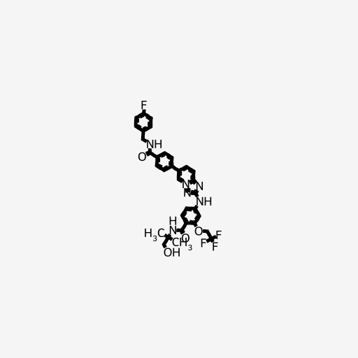 CC(C)(CO)NC(=O)c1ccc(Nc2nc3ccc(-c4ccc(C(=O)NCc5ccc(F)cc5)cc4)cn3n2)cc1OCC(F)(F)F